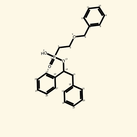 O=P(O)(CCOCc1ccccc1)OC(Cc1ccccc1)c1ccccc1